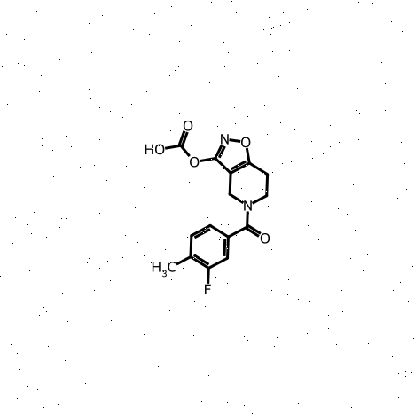 Cc1ccc(C(=O)N2CCc3onc(OC(=O)O)c3C2)cc1F